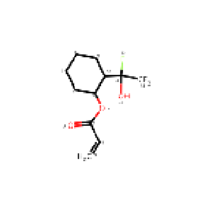 C=CC(=O)OC1CCCCC1C(O)(F)C(F)(F)F